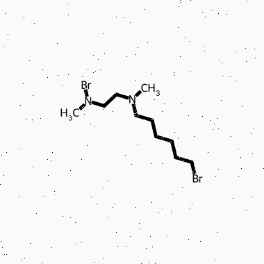 CN(Br)CCN(C)CCCCCCBr